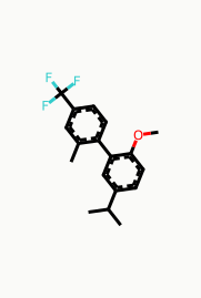 COc1ccc(C(C)C)cc1-c1ccc(C(F)(F)F)cc1C